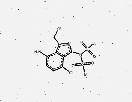 CCS(=O)(=O)N(c1nn(CC(F)(F)F)c2c(N)ccc(Cl)c12)S(=O)(=O)CC